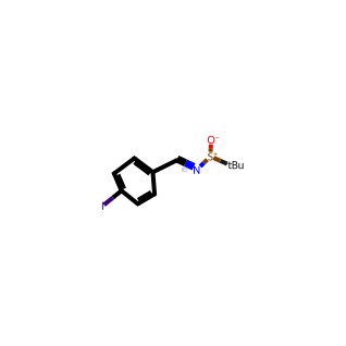 CC(C)(C)[S+]([O-])/N=C/c1ccc(I)cc1